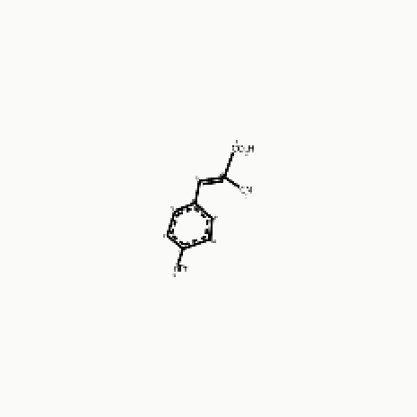 CCCc1ccc(/C=C(\C#N)C(=O)O)cc1